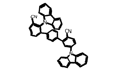 N#Cc1ccc(-n2c3ccccc3c3ccccc32)cc1-c1ccc(-c2cccc(C#N)c2-n2c3ccccc3c3ccccc32)cc1